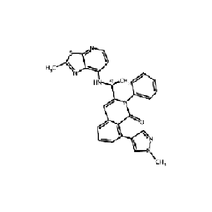 Cc1nc2c(N[C@@H](C)c3cc4cccc(-c5cnn(C)c5)c4c(=O)n3-c3ccccc3)ccnc2s1